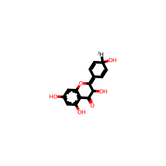 [2H]C1(O)C=CC(=C2Oc3cc(O)cc(O)c3C(=O)C2O)C=C1